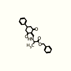 CC(NC=C1C(=O)CC(c2ccccc2)CC1=O)C(=O)OCc1ccccc1